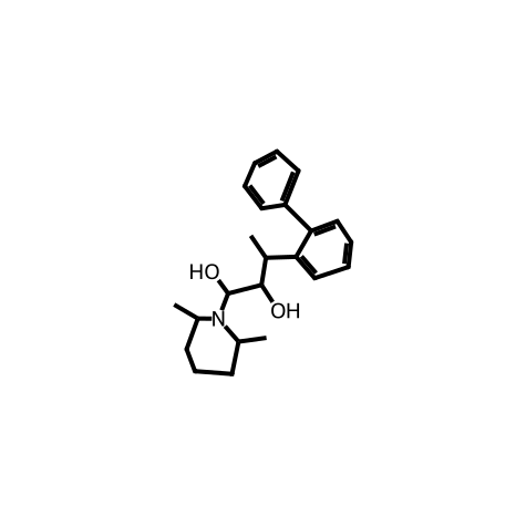 CC(c1ccccc1-c1ccccc1)C(O)C(O)N1C(C)CCCC1C